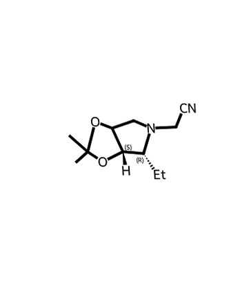 CC[C@@H]1[C@@H]2OC(C)(C)OC2CN1CC#N